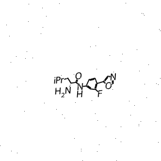 CC(C)C[C@@H](N)C(=O)Nc1ccc(-c2cnco2)c(F)c1